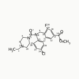 CCN1CCN(C(=O)N(Cc2ccc(C(=O)OC)cc2F)c2ccc(Cl)cc2)CC1